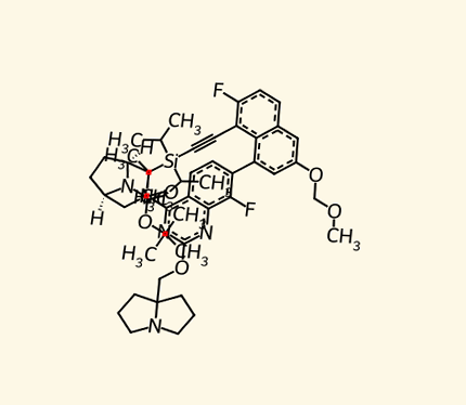 COCOc1cc(-c2ccc3c(N4C[C@H]5CC[C@@H](C4)N5C(=O)OC(C)(C)C)nc(OCC45CCCN4CCC5)nc3c2F)c2c(C#C[Si](C(C)C)(C(C)C)C(C)C)c(F)ccc2c1